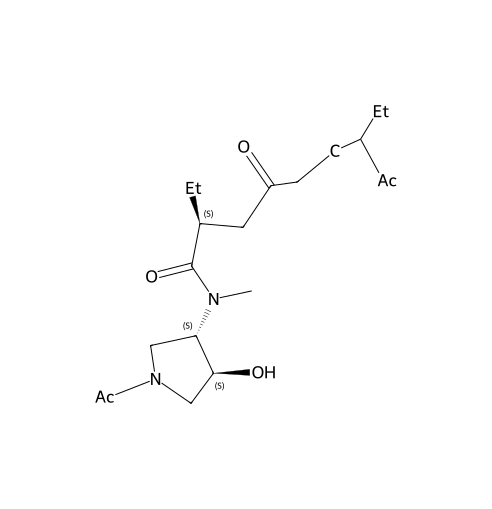 CCC(CCC(=O)C[C@H](CC)C(=O)N(C)[C@H]1CN(C(C)=O)C[C@@H]1O)C(C)=O